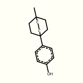 CC12CCC(c3ccc(O)cc3)(CC1)CC2